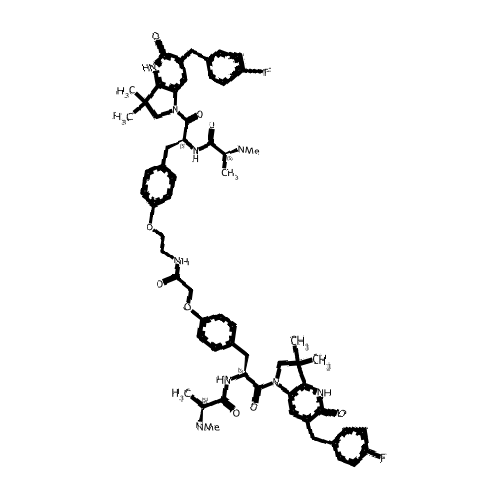 CN[C@@H](C)C(=O)N[C@@H](Cc1ccc(OCCNC(=O)COc2ccc(C[C@H](NC(=O)[C@H](C)NC)C(=O)N3CC(C)(C)c4[nH]c(=O)c(Cc5ccc(F)cc5)cc43)cc2)cc1)C(=O)N1CC(C)(C)c2[nH]c(=O)c(Cc3ccc(F)cc3)cc21